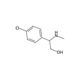 CNC(CO)c1ccc(Cl)cc1